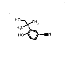 CC(C)(CO)c1cc(C#N)ccc1O